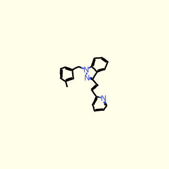 Cc1cccc(Cn2nc(C=Cc3ccccn3)c3ccccc32)c1